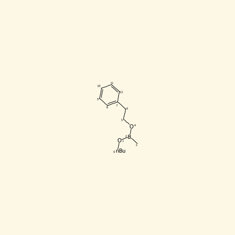 CCCCOB(C)OCCc1ccccc1